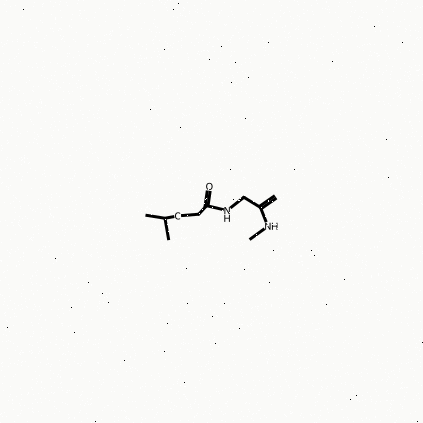 C=C(CNC(=O)CCC(C)C)NC